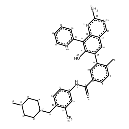 Cc1ccc(C(=O)Nc2ccc(CN3CCN(C)CC3)c(C(F)(F)F)c2)cc1-c1cc2cnc(N)nc2c(-c2ccccn2)c1O